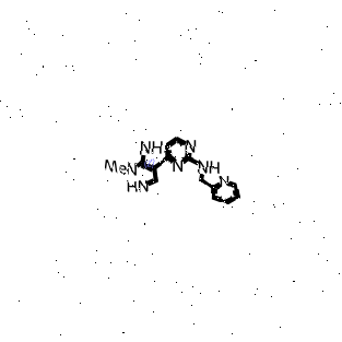 CN/C(N)=C(\C=N)c1ccnc(NCc2ccccn2)n1